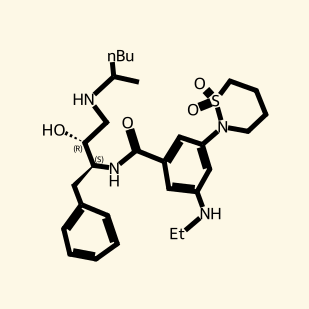 CCCCC(C)NC[C@@H](O)[C@H](Cc1ccccc1)NC(=O)c1cc(NCC)cc(N2CCCCS2(=O)=O)c1